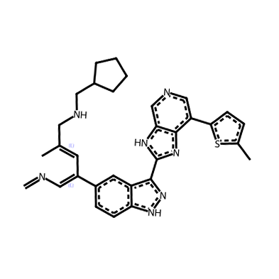 C=N/C=C(\C=C(/C)CNCC1CCCC1)c1ccc2[nH]nc(-c3nc4c(-c5ccc(C)s5)cncc4[nH]3)c2c1